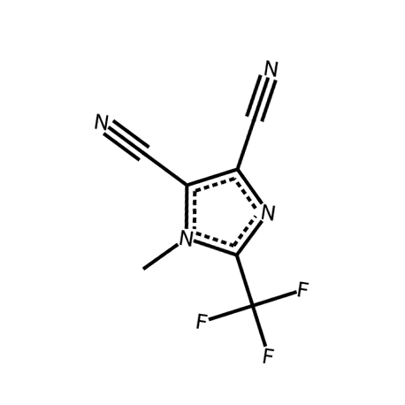 Cn1c(C(F)(F)F)nc(C#N)c1C#N